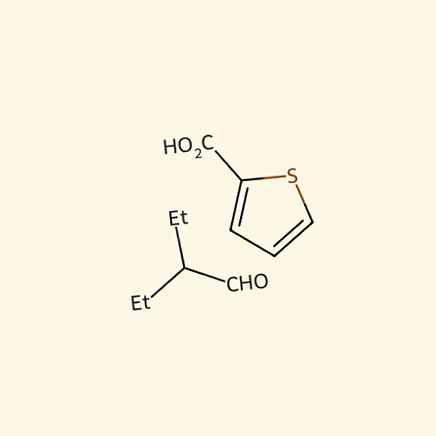 CCC(C=O)CC.O=C(O)c1cccs1